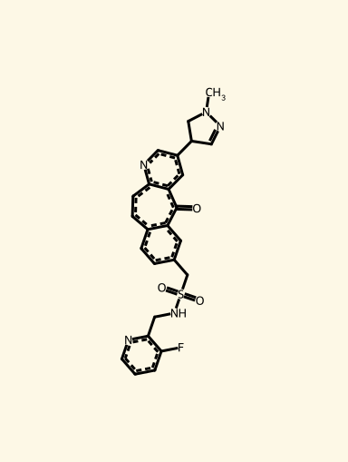 CN1CC(c2cnc3ccc4ccc(CS(=O)(=O)NCc5ncccc5F)cc4c(=O)c3c2)C=N1